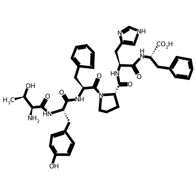 C[C@@H](O)[C@H](N)C(=O)N[C@@H](Cc1ccc(O)cc1)C(=O)N[C@@H](Cc1ccccc1)C(=O)N1CCC[C@H]1C(=O)N[C@@H](Cc1c[nH]cn1)C(=O)N[C@@H](Cc1ccccc1)C(=O)O